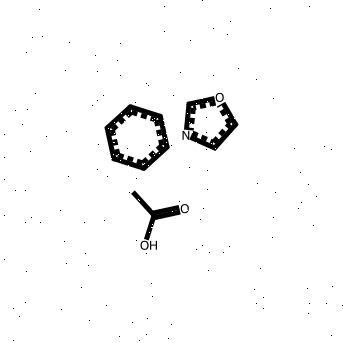 CC(=O)O.c1ccccc1.c1cocn1